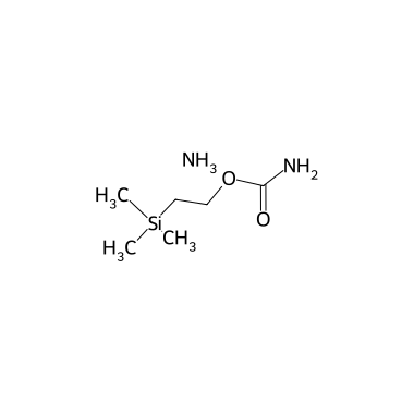 C[Si](C)(C)CCOC(N)=O.N